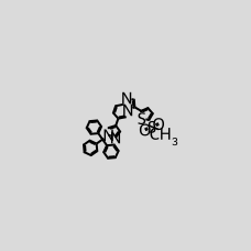 CS(=O)(=O)c1ccc(-c2cnc3ccc(-c4cnn(C(c5ccccc5)(c5ccccc5)c5ccccc5)c4)cn23)s1